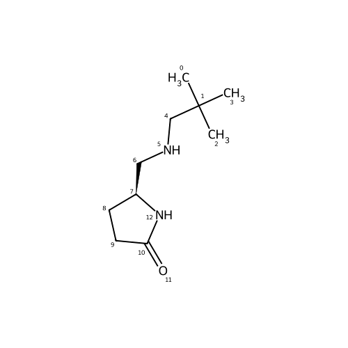 CC(C)(C)CNC[C@@H]1CCC(=O)N1